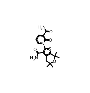 CC1(C)Cc2c(sc(-n3cccc(C(N)=O)c3=O)c2C(N)=O)C(C)(C)O1